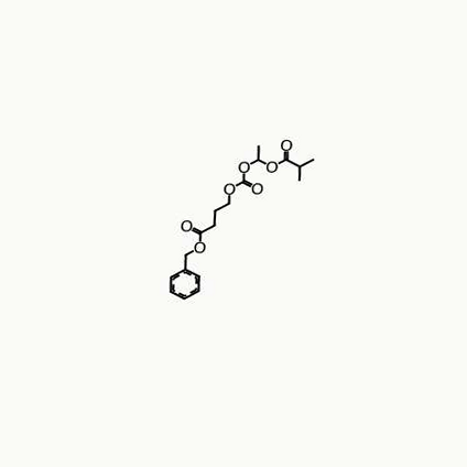 CC(OC(=O)OCCCC(=O)OCc1ccccc1)OC(=O)C(C)C